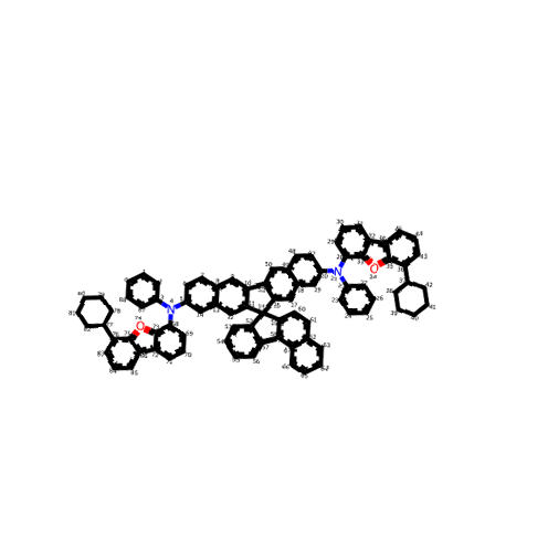 c1ccc(N(c2ccc3cc4c(cc3c2)C2(c3cc5cc(N(c6ccccc6)c6cccc7c6oc6c(C8CCCCC8)cccc67)ccc5cc3-4)c3ccccc3-c3c2ccc2ccccc32)c2cccc3c2oc2c(C4CCCCC4)cccc23)cc1